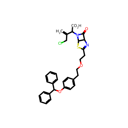 C=C(CCl)C(C(=O)O)N1C(=O)C2N=C(CCOCCc3ccc(OC(c4ccccc4)c4ccccc4)cc3)SC21